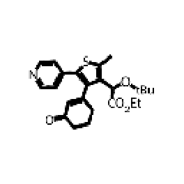 CCOC(=O)C(OC(C)(C)C)c1c(C)sc(-c2ccncc2)c1C1=CC(=O)CCC1